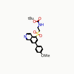 COc1ccc(-c2cc(S(=O)(=O)CCNC(=O)OC(C)(C)C)c3ccncc3c2)cc1